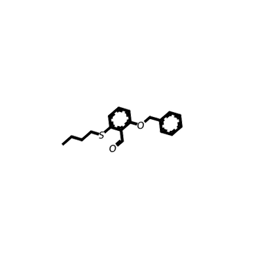 CCCCSc1cccc(OCc2ccccc2)c1C=O